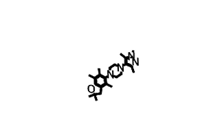 Cc1nn(C)c(C)c1N1CCN(c2c(C)c(C)c3c(c2C)CC(C)(C)O3)CC1